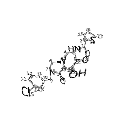 O=C(Nc1cn2ccn(Cc3cccc(Cl)c3)c(=O)c2c(O)c1=O)c1cccs1